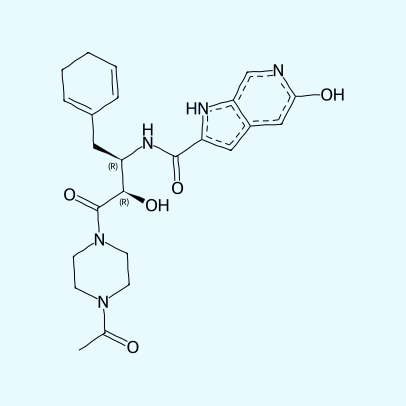 CC(=O)N1CCN(C(=O)[C@H](O)[C@@H](CC2=CCCC=C2)NC(=O)c2cc3cc(O)ncc3[nH]2)CC1